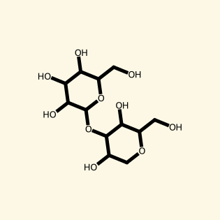 OCC1OC(OC2C(O)COC(CO)C2O)C(O)C(O)C1O